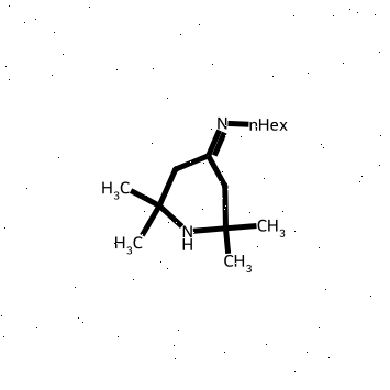 CCCCCCN=C1CC(C)(C)NC(C)(C)C1